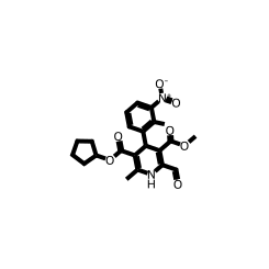 COC(=O)C1=C(C=O)NC(C)=C(C(=O)OC2CCCC2)C1c1cccc([N+](=O)[O-])c1C